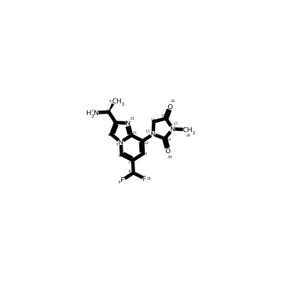 C[C@H](N)c1cn2cc(C(F)F)cc(N3CC(=O)N(C)C3=O)c2n1